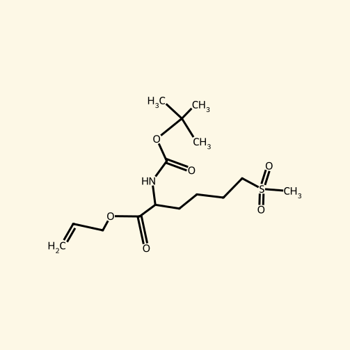 C=CCOC(=O)C(CCCCS(C)(=O)=O)NC(=O)OC(C)(C)C